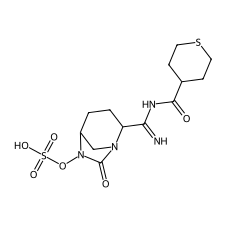 N=C(NC(=O)C1CCSCC1)C1CCC2CN1C(=O)N2OS(=O)(=O)O